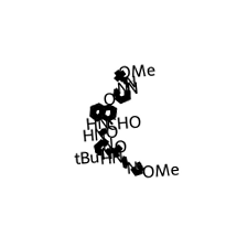 COC1CN(CCNC(=O)c2nc(NC(=O)N[C@@]3(C=O)C=C[C@@H](Oc4ccc5nnc(C(C)(C)OC)n5c4)c4ccccc43)cc(C(C)(C)C)n2)C1